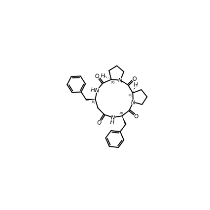 O=C1C[C@@H](Cc2ccccc2)NC(=O)[C@H]2CCCN2C(=O)[C@H]2CCCN2C(=O)[C@@H](Cc2ccccc2)N1